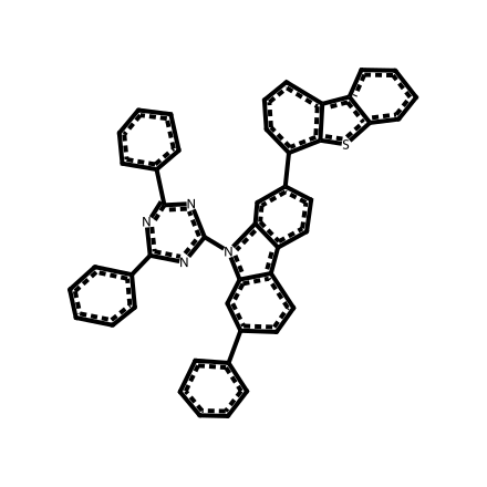 c1ccc(-c2ccc3c4ccc(-c5cccc6c5sc5ccccc56)cc4n(-c4nc(-c5ccccc5)nc(-c5ccccc5)n4)c3c2)cc1